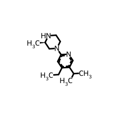 CCc1cc(N2CCN[C@H](C)C2)ncc1C(C)C